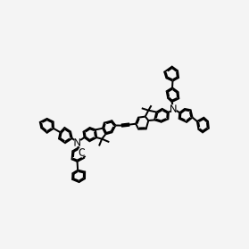 CC1(C)c2cc(C#CC3=CC4C(C=C3)c3ccc(N(c5ccc(-c6ccccc6)cc5)c5ccc(-c6ccccc6)cc5)cc3C4(C)C)ccc2-c2ccc(N(c3ccc(-c4ccccc4)cc3)c3ccc(-c4ccccc4)cc3)cc21